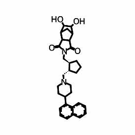 O=C1C2C3CC(C(O)C3O)C2C(=O)N1C[C@H]1CCC[C@@H]1CN1CCC(c2cccc3ccccc23)CC1